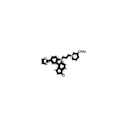 COC1CCCN(CCCn2c3ccc(-c4ncco4)cc3c3c4c(ccc32)C(=O)CC4)C1